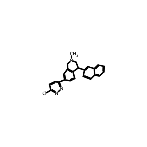 CN1Cc2cc(-c3ccc(Cl)nn3)ccc2C(c2ccc3ccccc3c2)C1